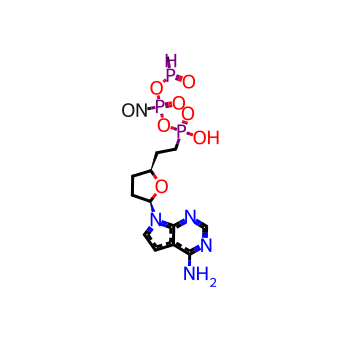 C[PH](=O)OP(=O)(N=O)OP(=O)(O)CC[C@@H]1CC[C@H](n2ccc3c(N)ncnc32)O1